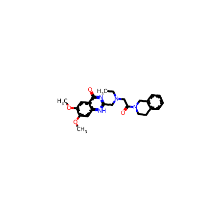 CCN(CC(=O)N1CCc2ccccc2C1)Cc1nc(=O)c2cc(OC)c(OC)cc2[nH]1